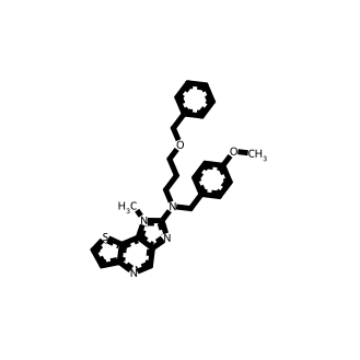 COc1ccc(CN(CCCOCc2ccccc2)c2nc3cnc4ccsc4c3n2C)cc1